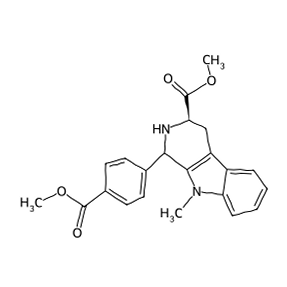 COC(=O)c1ccc(C2N[C@@H](C(=O)OC)Cc3c2n(C)c2ccccc32)cc1